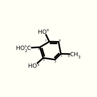 Cc1cc(O)c(C(=O)O)c(O)c1